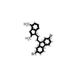 CC1=Cc2c(C)cccc2C1CCC1c2cc(Br)ccc2-c2ccc(Br)cc21